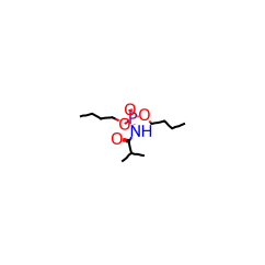 CCCCOP(=O)(NC(=O)C(C)C)OCCCC